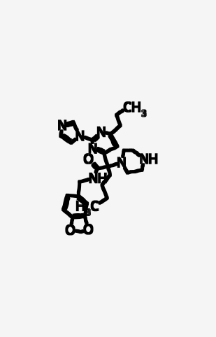 CCCCC(C(=O)NCc1ccc2c(c1)OCO2)(c1cc(CCC)nc(-n2ccnc2)n1)N1CCNCC1